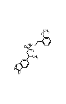 COc1ccccc1CCNS(=O)(=O)CC(C)c1ccc2[nH]ncc2c1